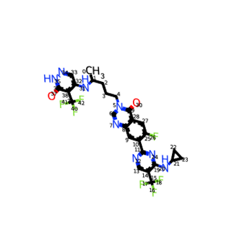 CC(CCCn1cnc2cc(-c3ncc(C(F)(F)F)c(NC4CC4)n3)c(F)cc2c1=O)Nc1cn[nH]c(=O)c1C(F)(F)F